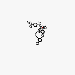 CCOC(=O)C1CC=C(C(OC)[C@@H]2CC[C@H]2CN2CCCCc3cc(Cl)ccc3COc3ccc(C(=O)OC)cc32)CC1